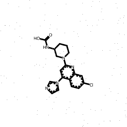 O=C(O)NC1CCCN(c2cc(-n3ccnc3)c3ccc(Cl)cc3n2)C1